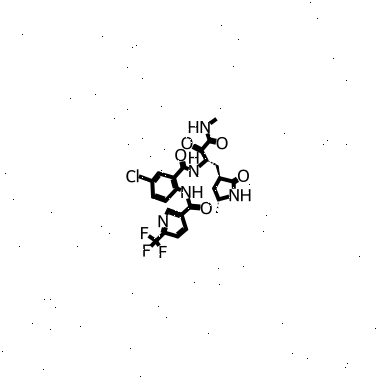 CNC(=O)C(=O)[C@H](C[C@@H]1C[C@@H](C)NC1=O)NC(=O)c1cc(Cl)ccc1NC(=O)c1ccc(C(F)(F)F)nc1